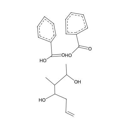 C=CCC(O)C(C)C(C)O.O=C(O)c1ccccc1.O=C(O)c1ccccc1